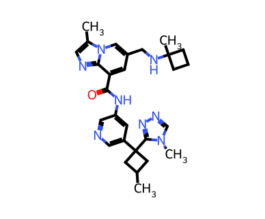 Cc1cnc2c(C(=O)Nc3cncc(C4(c5nncn5C)CC(C)C4)c3)cc(CNC3(C)CCC3)cn12